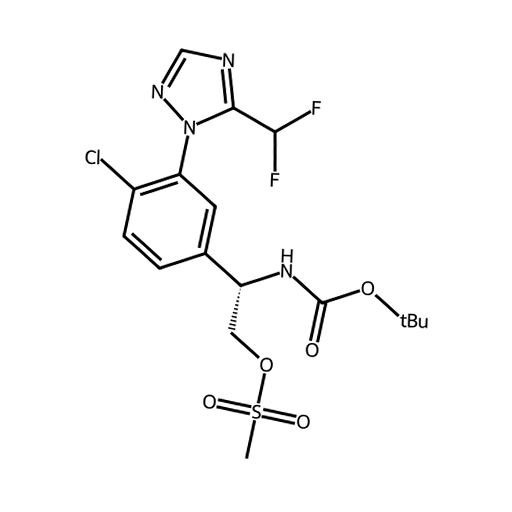 CC(C)(C)OC(=O)N[C@H](COS(C)(=O)=O)c1ccc(Cl)c(-n2ncnc2C(F)F)c1